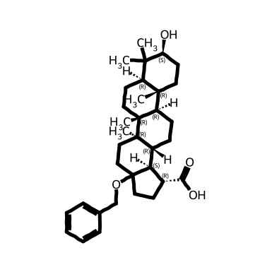 CC1(C)[C@@H](O)CC[C@]2(C)[C@H]3CC[C@@H]4[C@H]5[C@H](C(=O)O)CCC5(OCc5ccccc5)CC[C@@]4(C)[C@]3(C)CC[C@@H]12